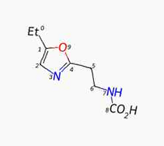 CCc1cnc(CCNC(=O)O)o1